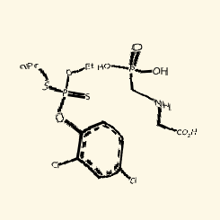 CCCSP(=S)(OCC)Oc1ccc(Cl)cc1Cl.O=C(O)CNCP(=O)(O)O